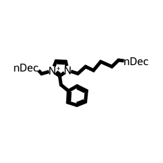 CCCCCCCCCCCCCCCCn1cc[n+](CCCCCCCCCCC)c1Cc1ccccc1